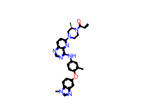 C=CC(=O)N1CCN(c2ccc3ncnc(Nc4ccc(Oc5ccc6c(c5)ncn6C)c(C)c4)c3n2)C[C@H]1C